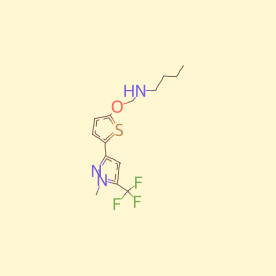 CCCCNCOc1ccc(-c2cc(C(F)(F)F)n(C)n2)s1